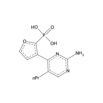 CCCc1cnc(N)nc1-c1ccoc1P(=O)(O)O